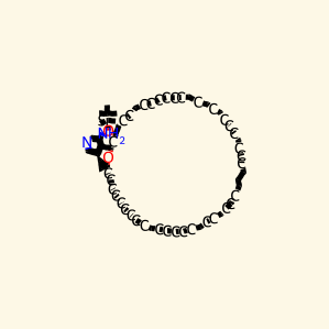 CC(C)(C)[Si](C)(C)OC1CCCCCCCCCCCCCCCCCCCCCCCCCCCCCCCCCCCCCCCCCCCCCCCC2(CC2)OC(c2ccncc2N)C1